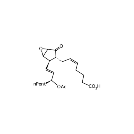 CCCCC[C@@H](/C=C/[C@H]1C2OC2C(=O)[C@@H]1C/C=C\CCCC(=O)O)OC(C)=O